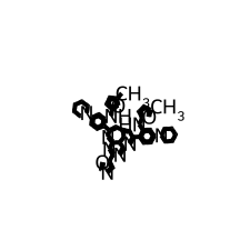 Cc1ccc(Nc2cc(N3CCCCC3)ccc2C2=CC3=CC(c4ccc(N5CCCCC5)cc4Nc4ccc(C)o4)=NC4=NC(c5cnco5)=NC(=N2)C4C3)o1